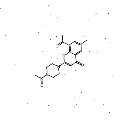 CC(=O)c1cc(C)cc2c(=O)cc(N3CCN(C(C)=O)CC3)oc12